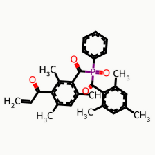 C=CC(=O)c1c(C)cc(C)c(C(=O)P(=O)(C(=O)c2c(C)cc(C)cc2C)c2ccccc2)c1C